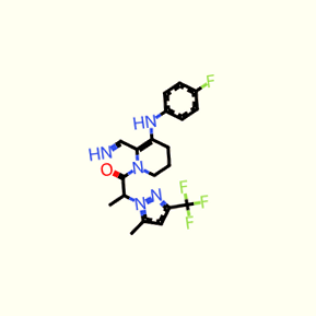 Cc1cc(C(F)(F)F)nn1C(C)C(=O)N1CCCC(Nc2ccc(F)cc2)=C1C=N